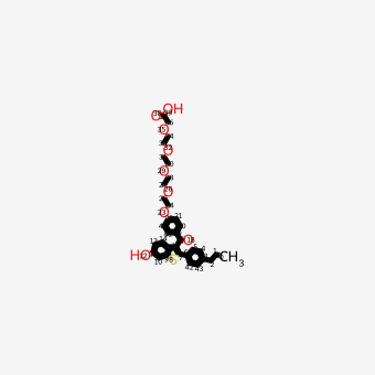 CCCc1ccc(-c2sc3cc(O)ccc3c2C(=O)c2ccc(OCCOCCOCCOCCOCC(=O)O)cc2)cc1